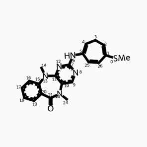 CSC1=CCC=C(Nc2ncc3c(n2)N(C)c2ccccc2C(=O)N3C)C=C1